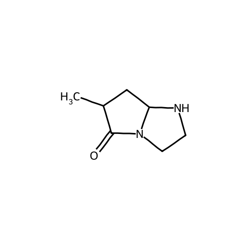 CC1CC2NCCN2C1=O